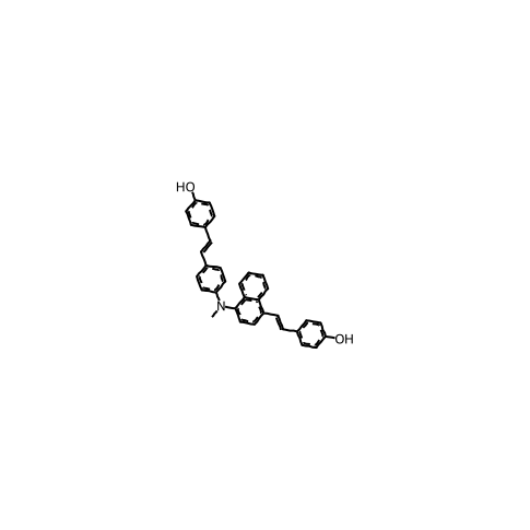 CN(c1ccc(C=Cc2ccc(O)cc2)cc1)c1ccc(C=Cc2ccc(O)cc2)c2ccccc12